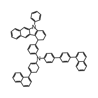 C1=Cc2c(c3cc4ccccc4cc3n2-c2ccccc2)C(c2cccc(N(C3=CC=C(c4cccc5ccccc45)CC3)c3ccc(-c4ccc(-c5cccc6ccccc56)cc4)cc3)c2)C1